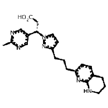 Cc1ncc([C@H](CC(=O)O)n2ccc(CCCc3ccc4c(n3)NCCC4)n2)cn1